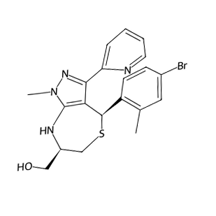 Cc1cc(Br)ccc1[C@H]1SC[C@@H](CO)Nc2c1c(-c1ccccn1)nn2C